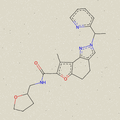 Cc1c(C(=O)NCC2CCCO2)oc2c1-c1nn(C(C)c3ccccn3)cc1CC2